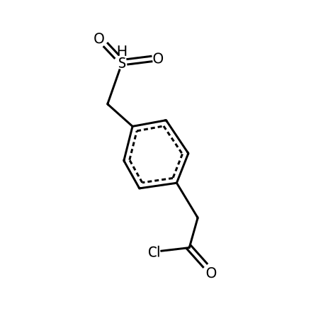 O=C(Cl)Cc1ccc(C[SH](=O)=O)cc1